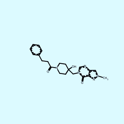 Cn1cc2ncn(CC3(O)CCN(C(=O)CCc4ccccc4)CC3)c(=O)c2n1